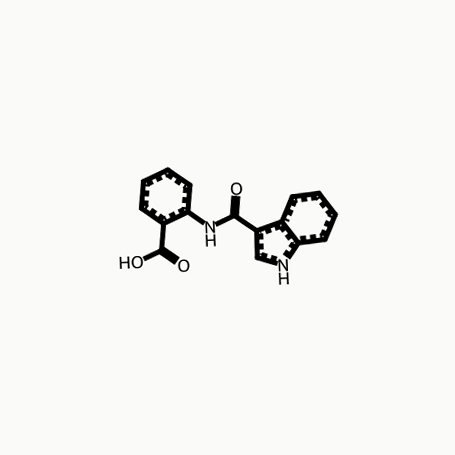 O=C(O)c1ccccc1NC(=O)c1c[nH]c2ccccc12